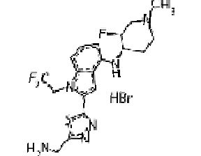 Br.CN1CC[C@@H](Nc2cccc3c2cc(-c2nnc(CN)s2)n3CC(F)(F)F)[C@@H](F)C1